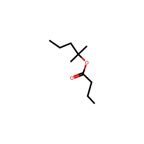 CCCC(=O)OC(C)(C)CCC